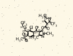 Cc1nn(C)c(OC(=O)c2cn(C)nc2C(F)(F)F)c1C(=O)c1ccc(S(C)(=O)=O)c(COCC(F)(F)F)c1Cl